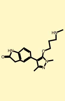 CNCCCOc1c(-c2ccc3c(c2)CC(=O)N3)c(C)nn1C